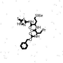 CSCCC(NC(=O)C(CC(C)C)NC(=O)OCc1ccccc1)C(=O)Nc1n[nH]c(=S)s1